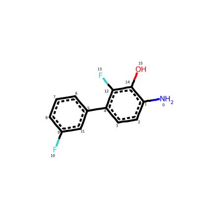 Nc1ccc(-c2cccc(F)c2)c(F)c1O